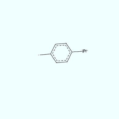 [CH2]c1ccc([C](C)C)cc1